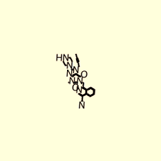 CC#CCn1c(N2CCNCC2)nc2c1c(=O)n(Cc1ncc(C#N)c3ccccc13)c(=O)n2C